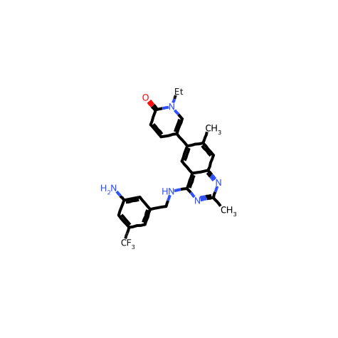 CCn1cc(-c2cc3c(NCc4cc(N)cc(C(F)(F)F)c4)nc(C)nc3cc2C)ccc1=O